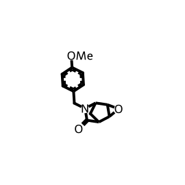 COc1ccc(CN2C(=O)C3CC2C2OC32)cc1